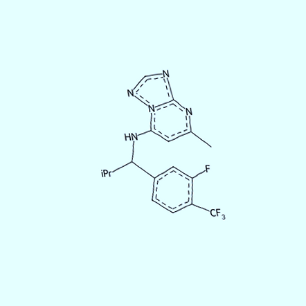 Cc1cc(NC(c2ccc(C(F)(F)F)c(F)c2)C(C)C)n2ncnc2n1